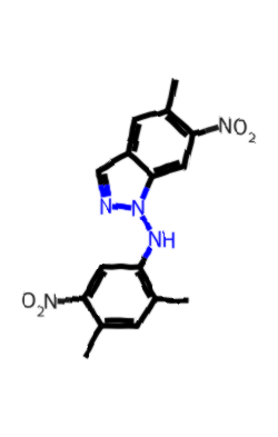 Cc1cc(C)c([N+](=O)[O-])cc1Nn1ncc2cc(C)c([N+](=O)[O-])cc21